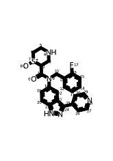 O=C(C1CNCC[S+]1[O-])N(Cc1ccccc1F)c1ccc2[nH]nc(-c3ccncc3)c2c1